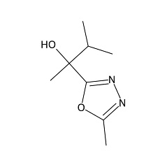 Cc1nnc(C(C)(O)C(C)C)o1